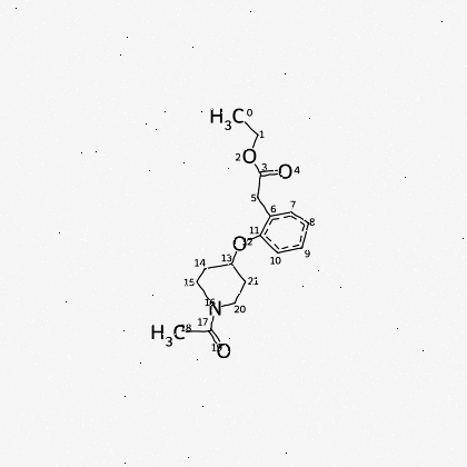 CCOC(=O)Cc1ccccc1OC1CCN(C(C)=O)CC1